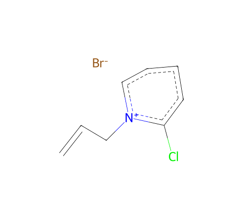 C=CC[n+]1ccccc1Cl.[Br-]